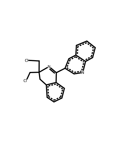 ClCC1(CCl)Cc2ccccc2C(c2cnc3ccccc3c2)=N1